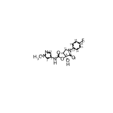 Cn1cc(NC(=O)O[C@@]2(O)CCN(c3ccc(F)cc3)C2=O)cn1